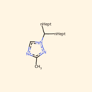 CCCCCCCC(CCCCCCC)n1cnc(C)n1